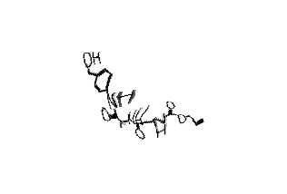 C=CCOC(=O)NCC(=O)N[C@@H](C)C(=O)Nc1ccc(CO)cc1